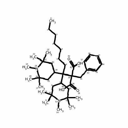 CCCCCCCC(C1CC(C)(C)N(C)C(C)(C)C1)(C1CC(C)(C)N(C)C(C)(C)C1)C(Cc1ccccc1)(C(=O)O)C(=O)O